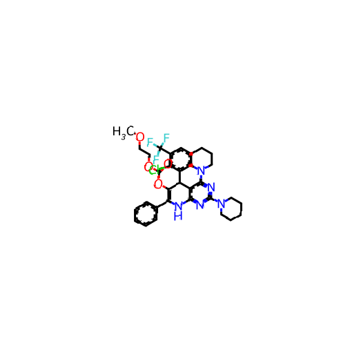 COCCOC(=O)OC1=C(c2ccccc2)Nc2nc(N3CCCCC3)nc(N3CCCCC3)c2C1c1cccc(C(F)(F)F)c1Cl